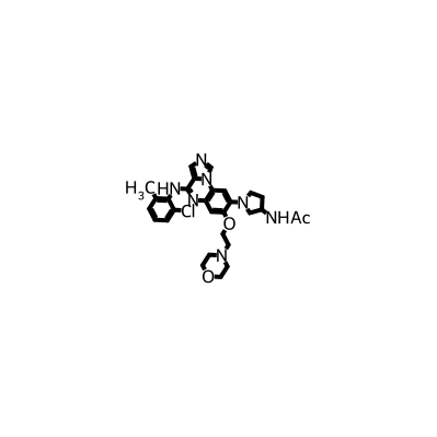 CC(=O)NC1CCN(c2cc3c(cc2OCCN2CCOCC2)nc(Nc2c(C)cccc2Cl)c2cncn23)C1